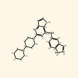 c1cc2nc(N3CCC(N4CCCCC4)CC3)nc(Nc3ccc4[nH]ncc4c3)c2s1